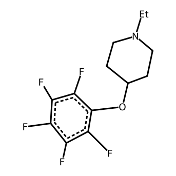 CCN1CCC(Oc2c(F)c(F)c(F)c(F)c2F)CC1